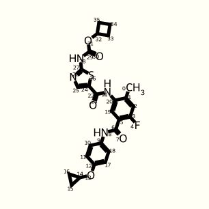 Cc1cc(F)c(C(=O)Nc2ccc(OC3CC3)cc2)cc1NC(=O)c1cnc(NC(=O)OC2CCC2)s1